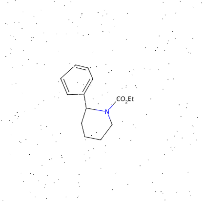 CCOC(=O)N1CCCCC1c1ccccc1